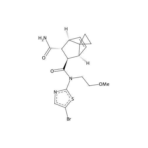 COCCN(C(=O)[C@H]1[C@H](C(N)=O)[C@H]2C=C[C@@H]1C21CC1)c1ncc(Br)s1